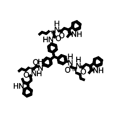 CCCC[C@H](NC(=O)Cc1c(C)[nH]c2ccccc12)C(=O)Nc1ccc(C(c2ccc(NC(=O)[C@H](CCCC)NC(=O)Cc3c(C)[nH]c4ccccc34)cc2)c2ccc(NC(=O)[C@H](CCCC)NC(=O)Cc3c(C)[nH]c4ccccc34)cc2)cc1